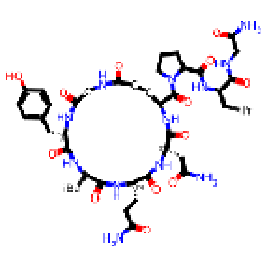 CCC(C)C1NC(=O)[C@H](Cc2ccc(O)cc2)NC(=O)CNC(=O)CCC(C(=O)N2CCCC2C(=O)NC(CC(C)C)C(=O)NCC(N)=O)NC(=O)[C@H](CC(N)=O)NC(=O)[C@H](CCC(N)=O)NC1=O